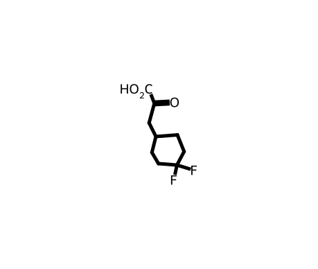 O=C(O)C(=O)CC1CCC(F)(F)CC1